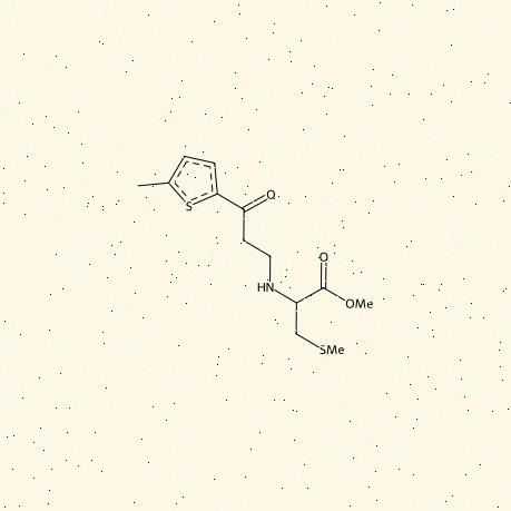 COC(=O)C(CSC)NCCC(=O)c1ccc(C)s1